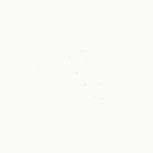 O=C(Nc1c2c(nn1-c1ccccc1)CCC2)NC1CN(CC(F)(F)F)CC1c1ccc(F)cc1